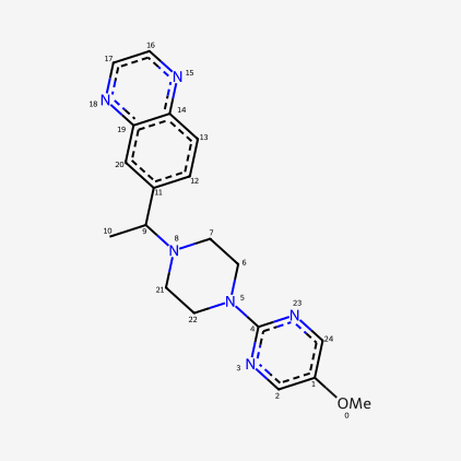 COc1cnc(N2CCN(C(C)c3ccc4nccnc4c3)CC2)nc1